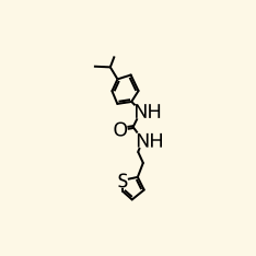 CC(C)c1ccc(NC(=O)NCCc2cccs2)cc1